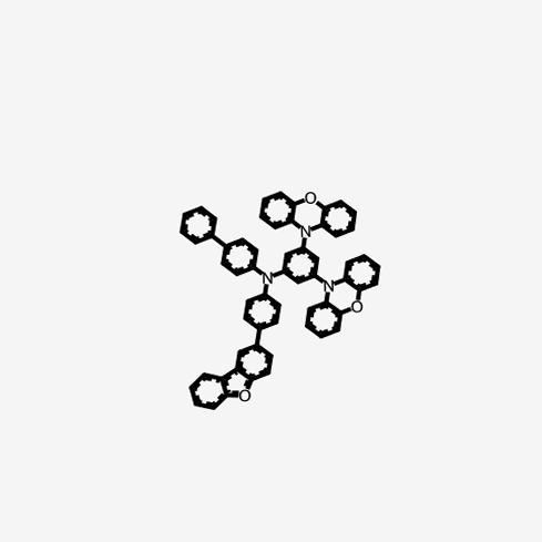 c1ccc(-c2ccc(N(c3ccc(-c4ccc5oc6ccccc6c5c4)cc3)c3cc(N4c5ccccc5Oc5ccccc54)cc(N4c5ccccc5Oc5ccccc54)c3)cc2)cc1